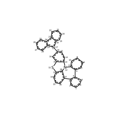 c1ccc2c(c1)-c1ccccc1N1c3ccc(-n4c5ccccc5c5ccccc54)cc3Sc3cccc-2c31